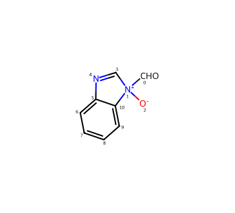 O=C[N+]1([O-])C=Nc2ccccc21